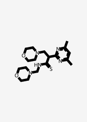 Cc1cc(C)nc(C(CN2CCOCC2)C(=S)NCN2CCOCC2)n1